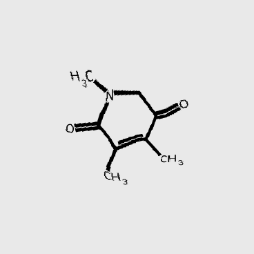 CC1=C(C)C(=O)N(C)CC1=O